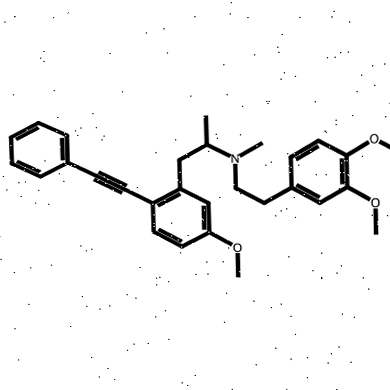 COc1ccc(C#Cc2ccccc2)c(CC(C)N(C)CCc2ccc(OC)c(OC)c2)c1